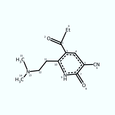 CCC(=O)c1cc(C#N)c(=O)[nH]c1CCN(C)C